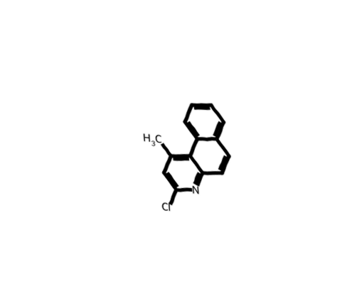 Cc1cc(Cl)nc2ccc3ccccc3c12